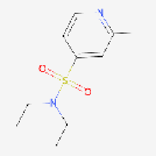 CCN(CC)S(=O)(=O)c1ccnc(C)c1